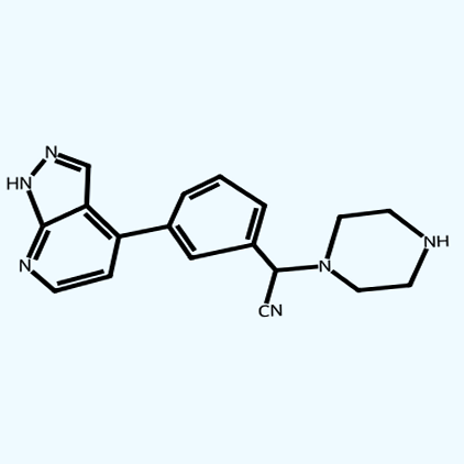 N#CC(c1cccc(-c2ccnc3[nH]ncc23)c1)N1CCNCC1